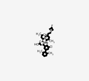 Cc1cccc(C)c1-c1cc(Cl)c(F)c([C@H](CC(=O)O)NC[C@H](CC(C)C)n2nc(CCN3CC(F)C3)cc(C)c2=O)c1